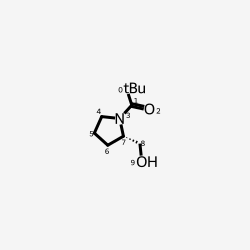 CC(C)(C)C(=O)N1CCC[C@H]1CO